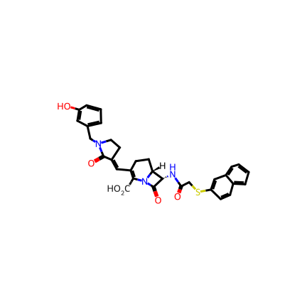 O=C(CSc1ccc2ccccc2c1)N[C@@H]1C(=O)N2C(C(=O)O)=C(/C=C3\CCN(Cc4cccc(O)c4)C3=O)CC[C@H]12